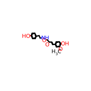 COc1cc(C=CC(=O)CONCCc2ccc(O)cc2)ccc1O